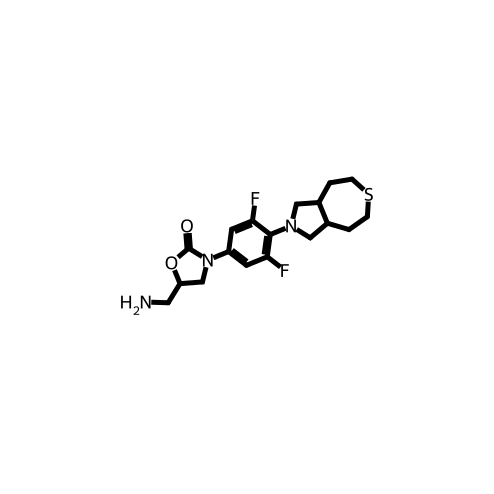 NCC1CN(c2cc(F)c(N3CC4CCSCCC4C3)c(F)c2)C(=O)O1